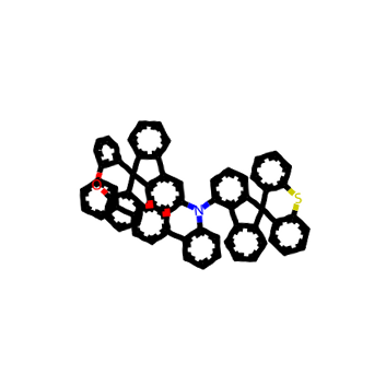 c1ccc(-c2ccc(-c3ccccc3N(c3ccc4c(c3)-c3ccccc3C43c4ccccc4Oc4ccccc43)c3cccc4c3-c3ccccc3C43c4ccccc4Sc4ccccc43)cc2)cc1